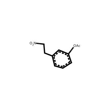 CC(=O)Oc1cccc(CC[N+](=O)[O-])c1